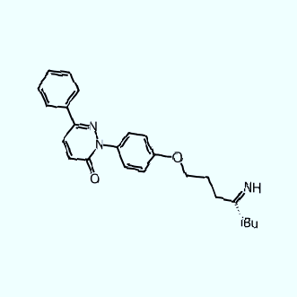 CC[C@@H](C)C(=N)CCCOc1ccc(-n2nc(-c3ccccc3)ccc2=O)cc1